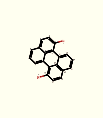 Brc1ccc2cccc3c4c(Br)ccc5cccc(c1c23)c54